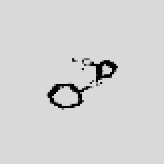 FC(F)(F)C1=[C]([Co][C]2=CC=CCCCC2)CC=C1